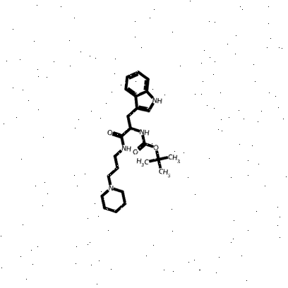 CC(C)(C)OC(=O)NC(Cc1c[nH]c2ccccc12)C(=O)NCCCN1CCCCC1